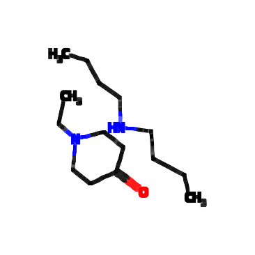 CCCCNCCCC.CCN1CCC(=O)CC1